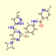 Cc1ccc(C(=O)Nc2ccc(Sc3nc(Nc4cc(C)n[nH]4)cc(N4CCC4)n3)cc2)cn1